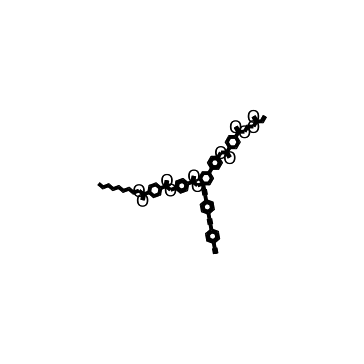 C#Cc1ccc(C#Cc2ccc(C#CC3(OC(=O)c4ccc(OC(=O)C5CCC(C(=O)OCCCCCCCC)CC5)cc4)CCC(c4ccc(OC(=O)C5CCC(C(=O)OCOC(=O)C=C)CC5)cc4)CC3)cc2)cc1